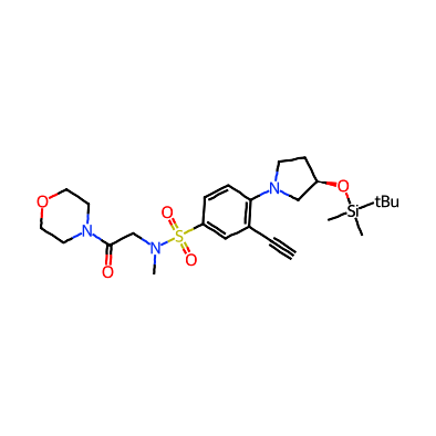 C#Cc1cc(S(=O)(=O)N(C)CC(=O)N2CCOCC2)ccc1N1CC[C@@H](O[Si](C)(C)C(C)(C)C)C1